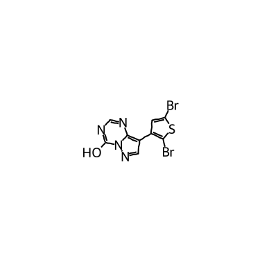 Oc1ncnc2c(-c3cc(Br)sc3Br)cnn12